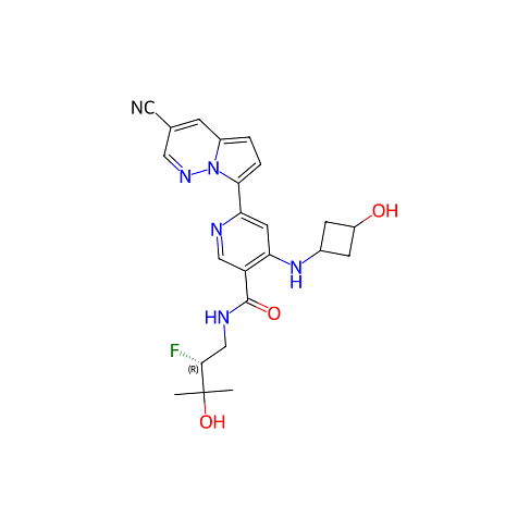 CC(C)(O)[C@H](F)CNC(=O)c1cnc(-c2ccc3cc(C#N)cnn23)cc1NC1CC(O)C1